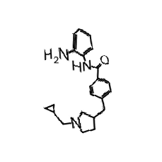 Nc1ccccc1NC(=O)c1ccc(CC2CCN(CC3CC3)C2)cc1